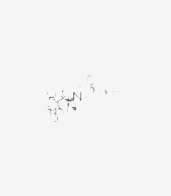 CCOC(=O)C1CN(c2cc(CC)c([N+](=O)[O-])cn2)C1